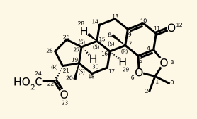 CC1(C)OC2=C(O1)[C@@]1(C)C(=CC2=O)CC[C@@H]2[C@@H]1CC[C@]1(C)[C@H](C(=O)C(=O)O)CC[C@@H]21